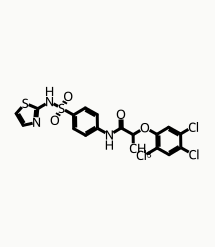 CC(Oc1cc(Cl)c(Cl)cc1Cl)C(=O)Nc1ccc(S(=O)(=O)Nc2nccs2)cc1